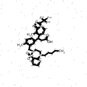 CCCCCN1CCN(Cc2cc(C(CC(=O)O)c3ccn4c(C(F)(F)F)nnc4c3C)ccc2C)S(=O)(=O)c2cccnc21